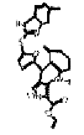 C=C1CCCC2=C1C(c1ccc(SC3=NC4C=C(C)C=CC4N3)o1)c1c[nH]c(C(=O)OCC)c1N2